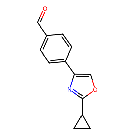 O=Cc1ccc(-c2coc(C3CC3)n2)cc1